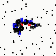 Cc1cnc(N[C@@]2(C)CCC[C@H](NC(=O)c3ccc(NC(=O)/C=C/CN(C)C)cn3)C2)nc1-c1c[nH]c2ccccc12